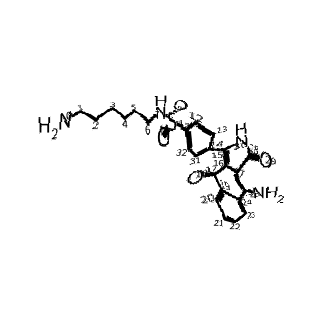 NCCCCCCNS(=O)(=O)c1ccc(C2=C3C(=O)c4ccccc4C(N)=C3C(=O)N2)cc1